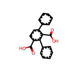 O=C(O)c1ccc(-c2ccccc2)c(C(=O)O)c1-c1ccccc1